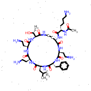 CC(=O)N[C@@H](CCCCN)C(=O)N[C@H]1CCNC(=O)[C@H]([C@@H](C)O)NC(=O)[C@H](CCN)NC(=O)[C@H](CCN)NC(=O)[C@H](CC(C)C)NC(=O)[C@@H](Cc2ccccc2)NC(=O)[C@H](CCN)NC1=O